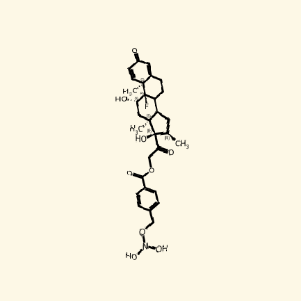 C[C@@H]1CC2C3CCC4=CC(=O)C=C[C@]4(C)[C@@]3(F)[C@@H](O)C[C@]2(C)[C@@]1(O)C(=O)COC(=O)c1ccc(CON(O)O)cc1